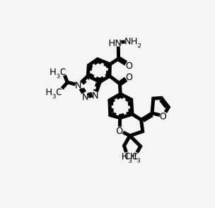 CCC1(CC)CC(=C2CC=CO2)c2cc(C(=O)c3c(C(=O)NN)ccc4c3nnn4C(C)C)ccc2O1